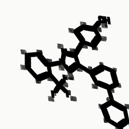 Oc1ccc(-c2cccc(-c3cn(-c4ccccc4C(F)(F)F)nc3-c3ccc(O)cc3)c2)cc1